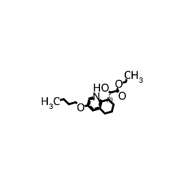 CCCCOc1cnc2c(c1)CCC[C@H]2C(O)C(=O)OCC